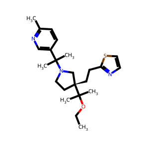 CCOC(C)(C)[C@]1(CCc2nccs2)CCN(C(C)(C)c2ccc(C)nc2)C1